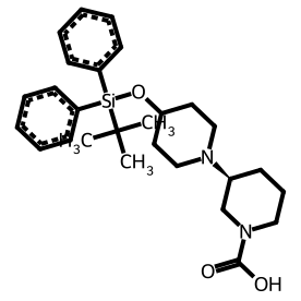 CC(C)(C)[Si](OC1CCN([C@H]2CCCN(C(=O)O)C2)CC1)(c1ccccc1)c1ccccc1